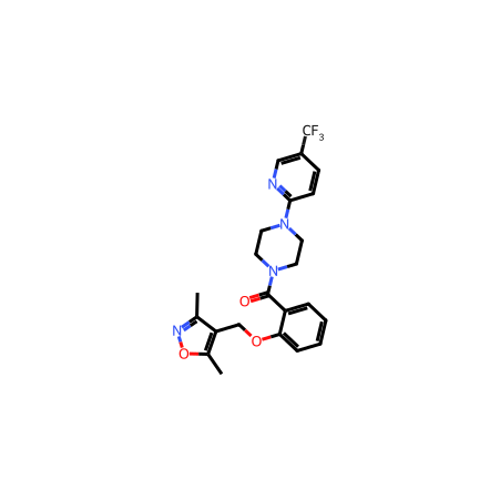 Cc1noc(C)c1COc1ccccc1C(=O)N1CCN(c2ccc(C(F)(F)F)cn2)CC1